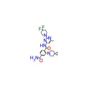 Cc1cc(NC(=O)c2ccc(C(N)=O)cc2N2CCC3(CC2)CC3)nc(N2CCC(F)(F)CC2)n1